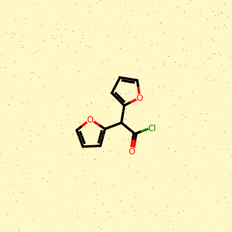 O=C(Cl)C(c1ccco1)c1ccco1